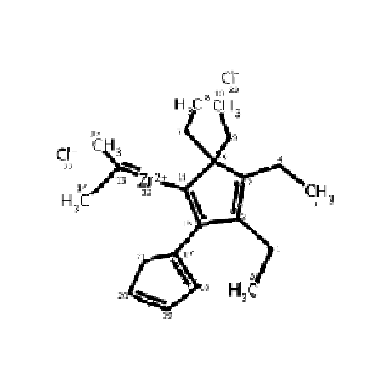 CCC1=C(CC)C(CC)(CC)[C]([Zr+2]=[C](C)C)=C1C1=CC=CC1.[Cl-].[Cl-]